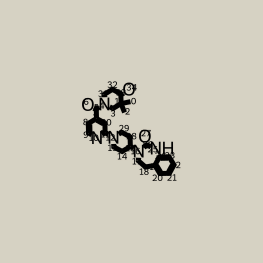 CC1(C)CN(C(=O)c2ccnc(N3CCC(N4CCc5ccccc5NC4=O)CC3)c2)CCC1=O